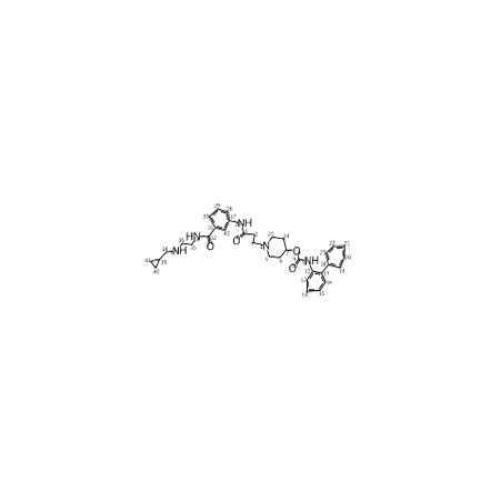 O=C(CCN1CCC(OC(=O)Nc2ccccc2-c2ccccc2)CC1)Nc1cccc(C(=O)NCCNCC2CC2)c1